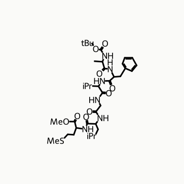 COC(=O)C(CCSC)NC(=O)C(CC(C)C)NC(=O)CNC(=O)C(NC(=O)C(Cc1ccccc1)NC(=O)C(C)NC(=O)OC(C)(C)C)C(C)C